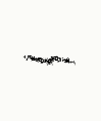 C=CC(=O)OCCOc1ccc2cc(C(=O)Oc3ccc(OC(=O)c4ccc5cc(OCCOC(=O)C=C)ccc5c4)c(CCC)c3)ccc2c1